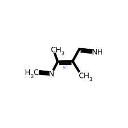 C=N/C(C)=C(\C)C=N